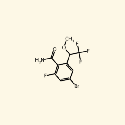 COC(c1cc(Br)cc(F)c1C(N)=O)C(F)(F)F